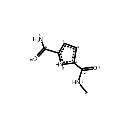 CNC(=O)c1ccc(C(N)=O)[nH]1